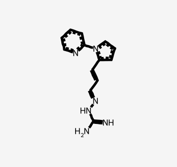 N=C(N)NN=CC=Cc1cccn1-c1ccccn1